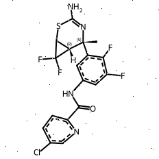 C[C@]1(c2cc(NC(=O)c3ccc(Cl)cn3)cc(F)c2F)N=C(N)SC2[C@H]1C2(F)F